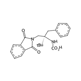 CC(C)(C)[C@@](Cc1ccccc1)(CN1C(=O)c2ccccc2C1=O)NC(=O)O